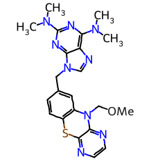 COCN1c2cc(Cn3cnc4c(N(C)C)nc(N(C)C)nc43)ccc2Sc2nccnc21